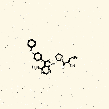 CC(C)C=C(C#N)C(=O)N1CCC[C@H]1Cn1cc(-c2ccc(Oc3ccccc3)cc2)c2c(N)ncnc21